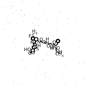 CNCC(=O)NC(Cc1ccccc1)C(=O)NCC(=O)NCOCC(=O)NC1CCc2c(C)c(F)cc3nc4c(c1c23)Cn1c-4cc2c(c1=S)COC(=O)C2O